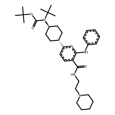 CC(C)(C)OC(=O)N([C@H]1CC[C@H](c2ccc(C(=O)NCCN3CCCCC3)c(Nc3ccccc3)n2)CC1)C(C)(C)C